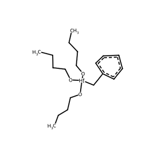 CCCC[O][Hf]([CH2]c1ccccc1)([O]CCCC)[O]CCCC